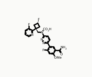 COc1cc(F)c(-c2ccc(N(C[C@]3(c4ncccc4F)C[C@@H](F)C3)C(=O)O)nn2)cc1C(N)=O